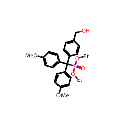 CCOP(=O)(OCC)C(c1ccc(CO)cc1)(c1ccc(OC)cc1)c1ccc(OC)cc1